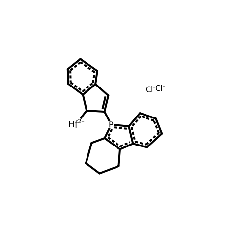 [Cl-].[Cl-].[Hf+2][CH]1C(p2c3c(c4ccccc42)CCCC3)=Cc2ccccc21